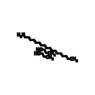 CCCCCCCCCCCCCCCCCCN.CCCO.CCCO